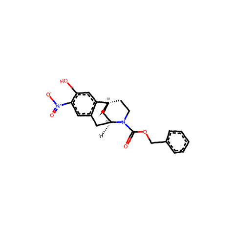 O=C(OCc1ccccc1)N1CC[C@@]23CCCCC2[C@@H]1Cc1cc([N+](=O)[O-])c(O)cc13